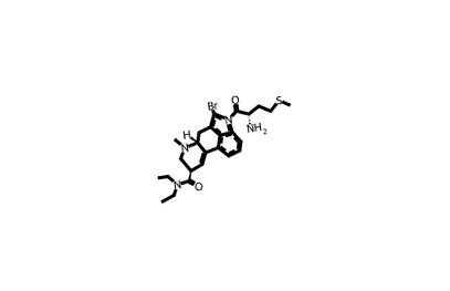 CCN(CC)C(=O)[C@@H]1C=C2c3cccc4c3c(c(Br)n4C(=O)[C@@H](N)CCSC)C[C@H]2N(C)C1